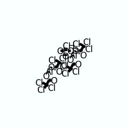 CP(=O)([O-])[O-].O=C([O][Al+][O]C(=O)C(Cl)(Cl)Cl)C(Cl)(Cl)Cl.O=C([O][Al+][O]C(=O)C(Cl)(Cl)Cl)C(Cl)(Cl)Cl